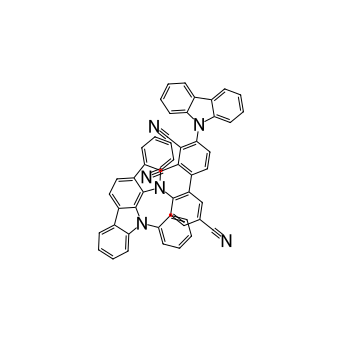 N#Cc1ccc(-n2c3ccccc3c3ccc4c5ccccc5n(-c5ccccc5)c4c32)c(-c2ccc(-n3c4ccccc4c4ccccc43)c(C#N)c2C#N)c1